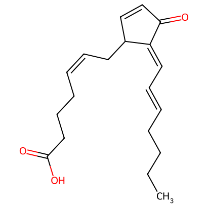 CCCC/C=C/C=C1/C(=O)C=CC1C/C=C\CCCC(=O)O